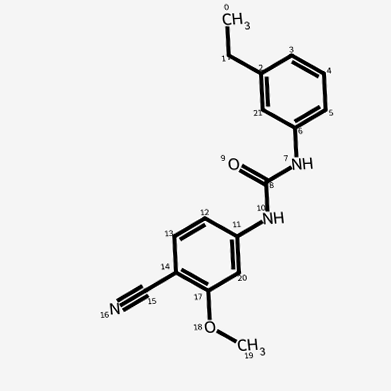 C[CH]c1cccc(NC(=O)Nc2ccc(C#N)c(OC)c2)c1